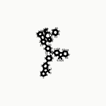 CC1(C)c2ccccc2-c2ccc(-c3ccc(N(c4ccc(-c5ccc6c(c5)C5(c7ccccc7-6)c6ccccc6N(c6ccccc6)c6ccccc65)cc4)c4ccc5c(c4)C(C)(C)c4ccccc4-5)cc3)cc21